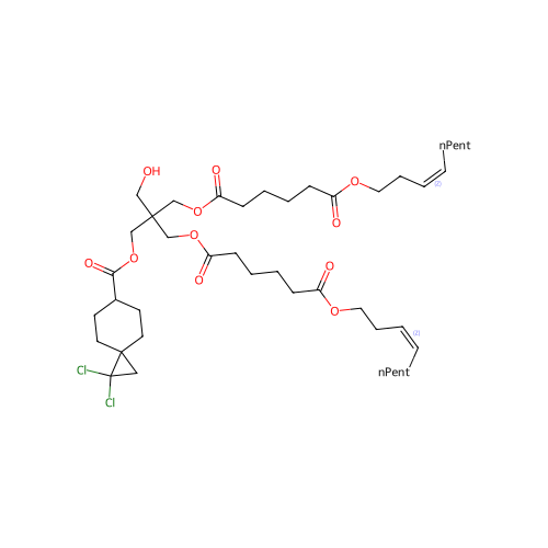 CCCCC/C=C\CCOC(=O)CCCCC(=O)OCC(CO)(COC(=O)CCCCC(=O)OCC/C=C\CCCCC)COC(=O)C1CCC2(CC1)CC2(Cl)Cl